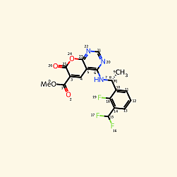 COC(=O)c1cc2c(N[C@H](C)c3cccc(C(F)F)c3F)ncnc2oc1=O